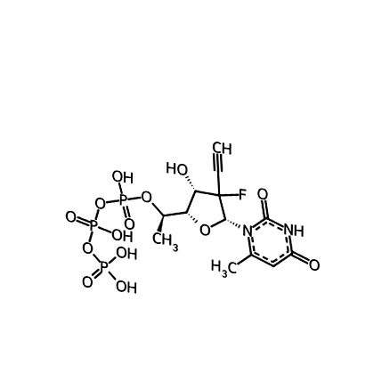 C#CC1(F)[C@@H](O)[C@@H]([C@@H](C)OP(=O)(O)OP(=O)(O)OP(=O)(O)O)O[C@H]1n1c(C)cc(=O)[nH]c1=O